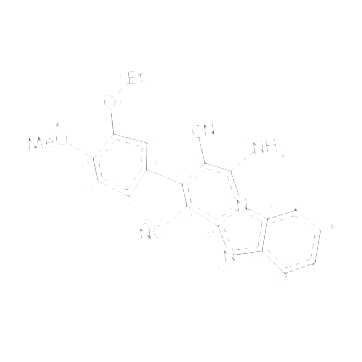 CCOc1cc(-c2c(C#N)c(N)n3c(nc4ccccc43)c2C#N)ccc1OC